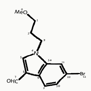 COCCCn1cc(C=O)c2ccc(Br)cc21